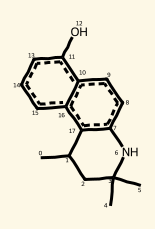 CC1CC(C)(C)Nc2ccc3c(O)cccc3c21